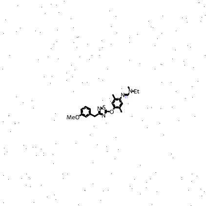 CCN(C)/C=N/c1cc(C)c(Oc2nc(Cc3cccc(OC)c3)ns2)cc1C